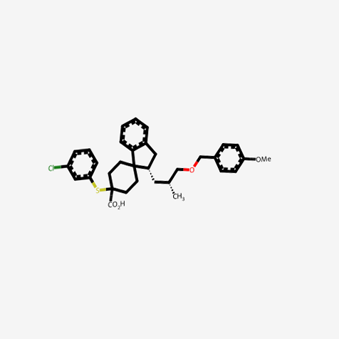 COc1ccc(COC[C@H](C)C[C@H]2Cc3ccccc3C23CCC(Sc2cccc(Cl)c2)(C(=O)O)CC3)cc1